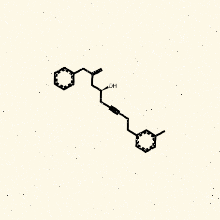 C=C(Cc1ccccc1)C[C@@H](O)CC#CCCc1cccc(C)c1